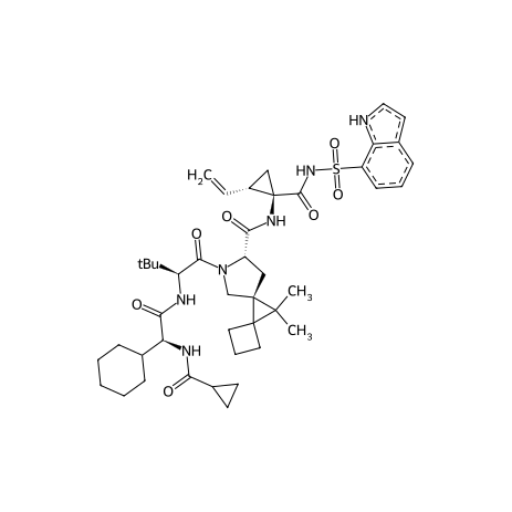 C=C[C@@H]1C[C@]1(NC(=O)[C@@H]1C[C@@]2(CN1C(=O)[C@@H](NC(=O)[C@@H](NC(=O)C1CC1)C1CCCCC1)C(C)(C)C)C(C)(C)C21CCC1)C(=O)NS(=O)(=O)c1cccc2cc[nH]c12